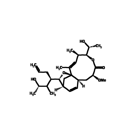 C=CC[C@H](C(C)[C@H](C)O)[C@@H]1O[C@]23C[C@H]1C=C[C@@H]2C[C@H](OC)C(=O)O[C@H]([C@@H](C)O)[C@H](C)/C=C/3C